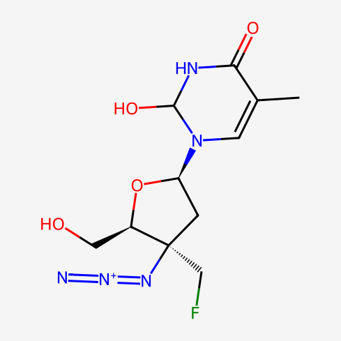 CC1=CN([C@H]2C[C@@](CF)(N=[N+]=[N-])[C@@H](CO)O2)C(O)NC1=O